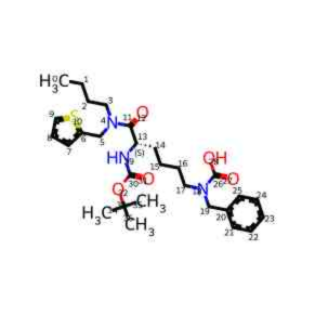 CCCCN(Cc1cccs1)C(=O)[C@H](CCCCN(Cc1ccccc1)C(=O)O)NC(=O)OC(C)(C)C